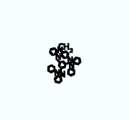 C=Nc1ccccc1N(Cc1cc(-c2nc3ccccc3n2C2=CC=CCC2)cc(-c2nc3ccccc3n2-c2ccccc2)c1)c1ccccc1